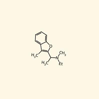 CCN(C)C(C)c1oc2ccccc2c1C